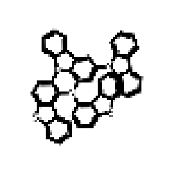 c1ccc2c(c1)B1c3ccc4sc5ccccc5c4c3N(c3cccc4sc5ccccc5c34)c3cc(-n4c5ccccc5c5ccccc54)cc-2c31